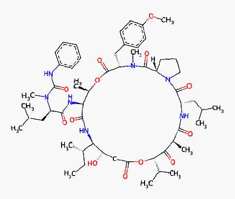 CC[C@H](C)[C@H]1NC(=O)[C@@H](NC(=O)[C@@H](CC(C)C)N(C)C(=O)Nc2ccccc2)[C@@H](C)OC(=O)[C@H](Cc2ccc(OC)cc2)N(C)C(=O)[C@@H]2CCCN2C(=O)[C@H](CC(C)C)NC(=O)[C@@H](C)C(=O)[C@H](C(C)C)OC(=O)C[C@@H]1O